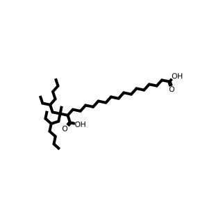 CCCCC(CC)CC(C)(CC(CC)CCCC)C(CCCCCCCCCCCCCCCC(=O)O)C(=O)O